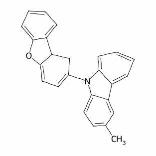 Cc1ccc2c(c1)c1ccccc1n2C1=CC=C2Oc3ccccc3C2C1